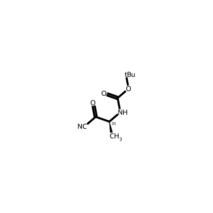 C[C@H](NC(=O)OC(C)(C)C)C(=O)C#N